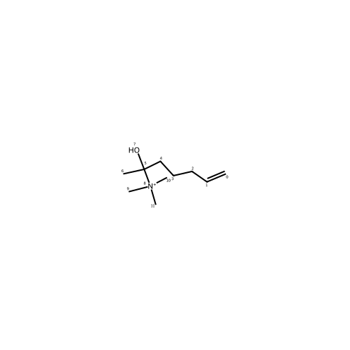 C=CCCCC(C)(O)[N+](C)(C)C